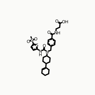 CS(=O)(=O)c1ccc(NC(=O)N(Cc2ccc(C(=O)NCCC(=O)O)cc2)C2CCC(C3=CCCCC3)CC2)s1